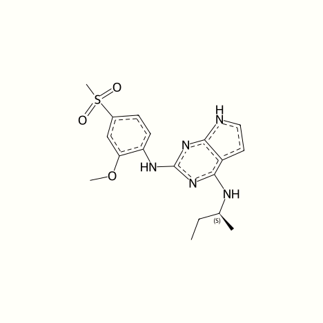 CC[C@H](C)Nc1nc(Nc2ccc(S(C)(=O)=O)cc2OC)nc2[nH]ccc12